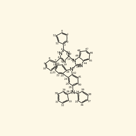 c1ccc(-c2nc(-c3ccccc3)nc(-n3c(-n4c5ccccc5c5cc(N(c6ccccc6)c6ccccc6)ccc54)nc4ccccc43)n2)cc1